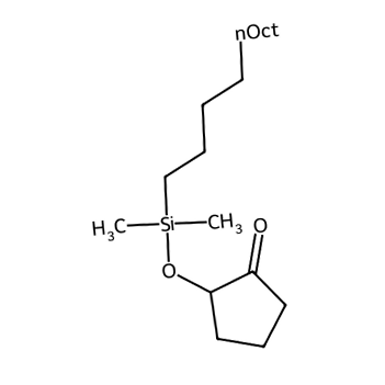 CCCCCCCCCCCC[Si](C)(C)OC1CCCC1=O